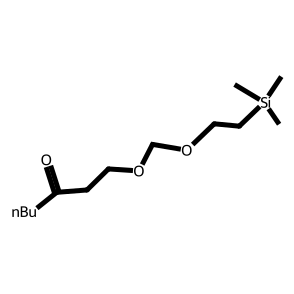 CCCCC(=O)CCOCOCC[Si](C)(C)C